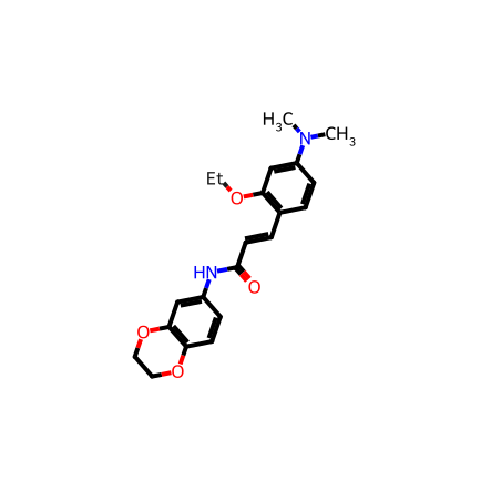 CCOc1cc(N(C)C)ccc1/C=C/C(=O)Nc1ccc2c(c1)OCCO2